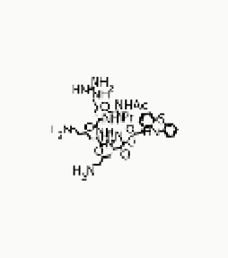 CC(=O)N[C@H](C(=O)N[C@@H](CCCNC(=N)N)C(=O)N[C@@H](CCCCN)C(=O)N[C@@H](CCCCN)C(=O)C(N)OC(=O)Cc1cccc2c1Nc1ccccc1S2)C(C)C